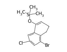 C[Si](C)(C)OC1=CCCc2c(Br)cc(Cl)cc21